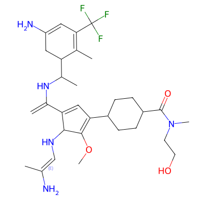 C=C(NC(C)C1CC(N)=CC(C(F)(F)F)=C1C)C1=CC(C2CCC(C(=O)N(C)CCO)CC2)=C(OC)C1N/C=C(\C)N